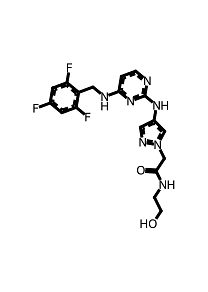 O=C(Cn1cc(Nc2nccc(NCc3c(F)cc(F)cc3F)n2)cn1)NCCO